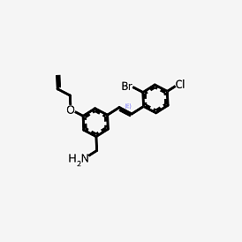 C=CCOc1cc(/C=C/c2ccc(Cl)cc2Br)cc(CN)c1